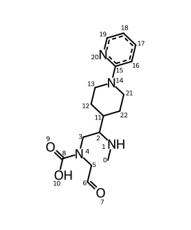 CNC(CN(CC=O)C(=O)O)C1CCN(c2ccccn2)CC1